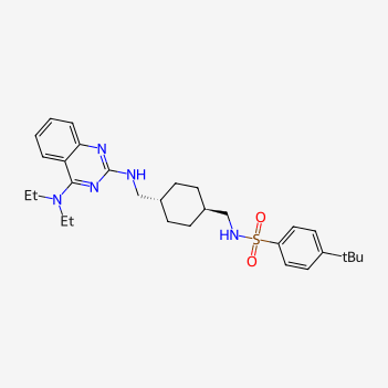 CCN(CC)c1nc(NC[C@H]2CC[C@H](CNS(=O)(=O)c3ccc(C(C)(C)C)cc3)CC2)nc2ccccc12